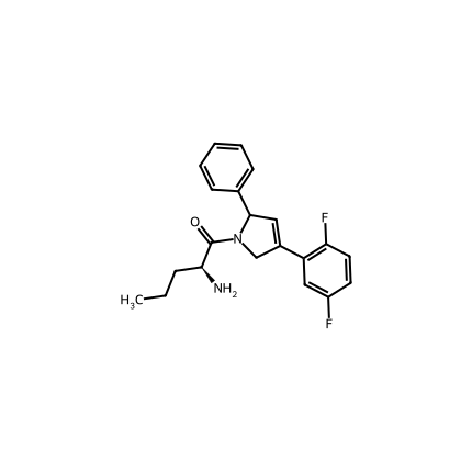 CCC[C@H](N)C(=O)N1CC(c2cc(F)ccc2F)=CC1c1ccccc1